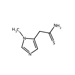 Cn1cncc1CC(N)=S